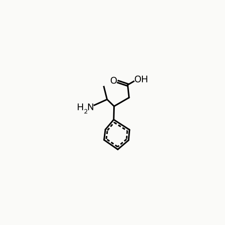 CC(N)C(CC(=O)O)c1ccccc1